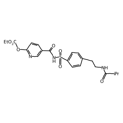 CCOC(=O)Oc1ccc(C(=O)NS(=O)(=O)c2ccc(CCNC(=O)C(C)C)cc2)cn1